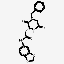 O=C(C[C@H]1NC(=O)CN(Cc2ccccc2)C1=O)Nc1ccc2c(c1)OCO2